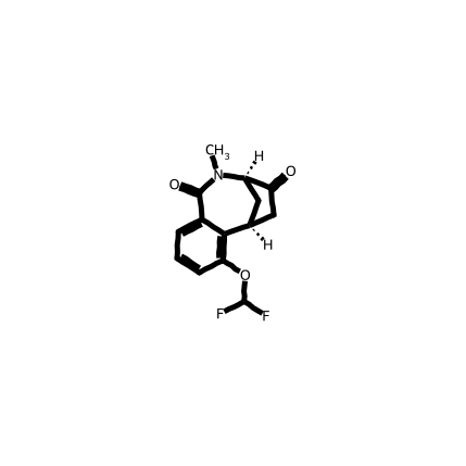 CN1C(=O)c2cccc(OC(F)F)c2[C@@H]2CC(=O)[C@H]1C2